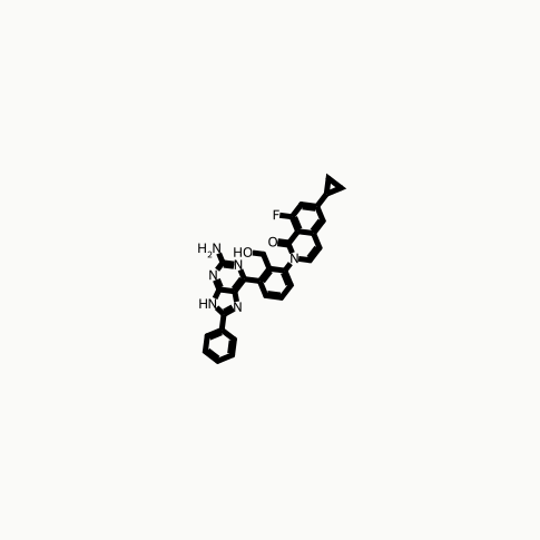 Nc1nc(-c2cccc(-n3ccc4cc(C5CC5)cc(F)c4c3=O)c2CO)c2nc(-c3ccccc3)[nH]c2n1